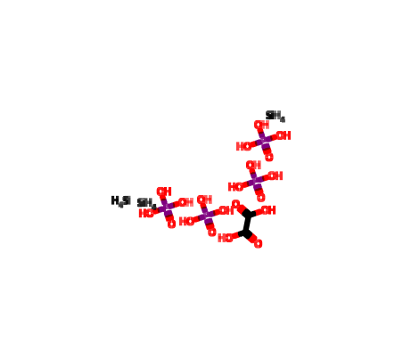 O=C(O)C(=O)O.O=P(O)(O)O.O=P(O)(O)O.O=P(O)(O)O.O=P(O)(O)O.[SiH4].[SiH4].[SiH4]